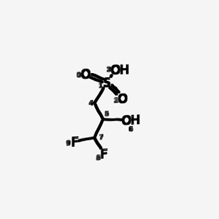 O=S(=O)(O)CC(O)C(F)F